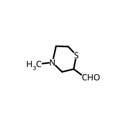 CN1CCSC(C=O)C1